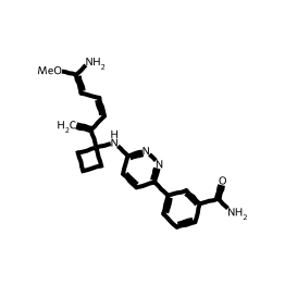 C=C(/C=C\C=C(/N)OC)C1(Nc2ccc(-c3cccc(C(N)=O)c3)nn2)CCC1